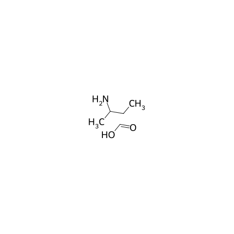 CCC(C)N.O=CO